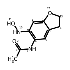 CC(=O)Nc1cc2c(cc1NO)OCC2